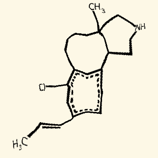 CC=Cc1ccc2c(c1Cl)CCC1(C)CNCC21